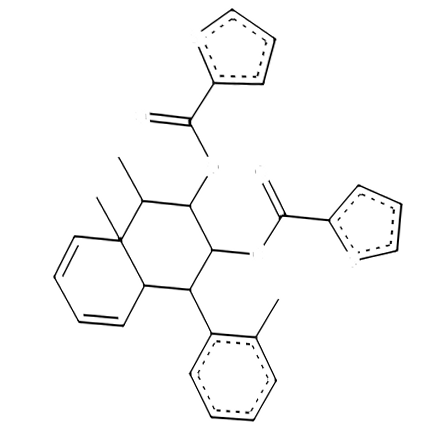 Cc1ccccc1C1C(OC(=O)c2cccs2)C(OC(=O)c2cccs2)C(C)C2(C)C=CC=CC12